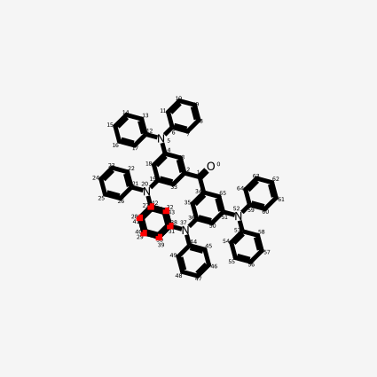 O=C(c1cc(N(c2ccccc2)c2ccccc2)cc(N(c2ccccc2)c2ccccc2)c1)c1cc(N(c2ccccc2)c2ccccc2)cc(N(c2ccccc2)c2ccccc2)c1